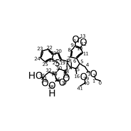 CCOC(CC(c1ccc2c(c1)OCO2)C(C)N(Cc1cc2ccccc2s1)C(=O)C[C@H](CC(=O)O)C(=O)O)OCC